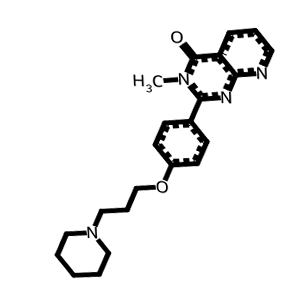 Cn1c(-c2ccc(OCCCN3CCCCC3)cc2)nc2ncccc2c1=O